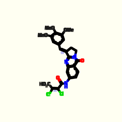 COc1cc(/C=C2\CCn3c2nc2cc(NC(=O)/C(Cl)=C(/Cl)C(=O)O)ccc2c3=O)cc(OC)c1OC